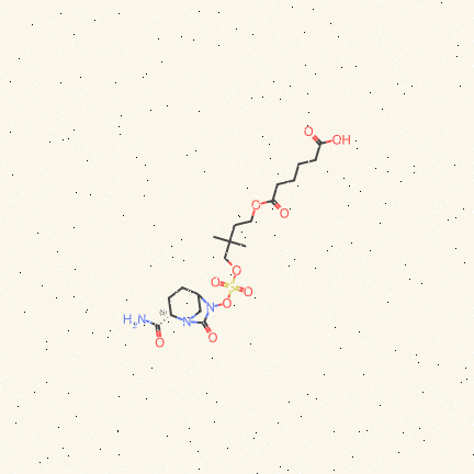 CC(C)(CCOC(=O)CCCCC(=O)O)COS(=O)(=O)ON1C(=O)N2CC1CC[C@H]2C(N)=O